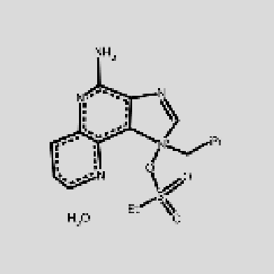 CCS(=O)(=O)O[N+]1(CC(C)C)C=Nc2c(N)nc3cccnc3c21.O